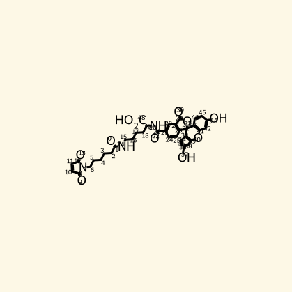 O=C(CCCCCN1C(=O)C=CC1=O)NCCCCC(NC(=O)c1ccc2c(c1)C(=O)OC21c2ccc(O)cc2Oc2cc(O)ccc21)C(=O)O